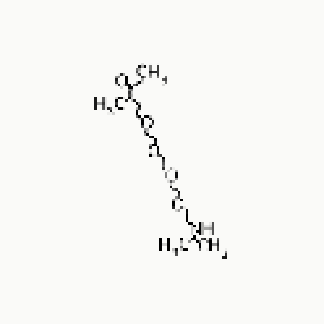 CCC(=O)C(C)CCOCCOCCOCCOCCNC(C)C